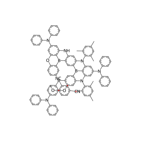 [C-]#[N+]c1ccc2c(c1)B1c3cc4c(cc3Nc3cc(N(c5ccccc5)c5ccccc5)cc(c31)O2)N(c1c(C)cc(C)cc1C)c1cc(N(c2ccccc2)c2ccccc2)cc2c1B4c1cc3c(cc1N2c1c(C)cc(C)cc1C)Oc1cc(N(c2ccccc2)c2ccccc2)cc2c1B3c1cc(C#N)ccc1O2